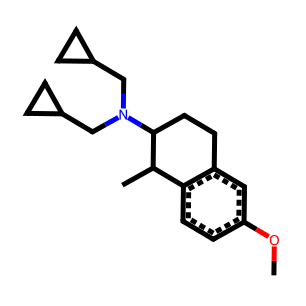 COc1ccc2c(c1)CCC(N(CC1CC1)CC1CC1)C2C